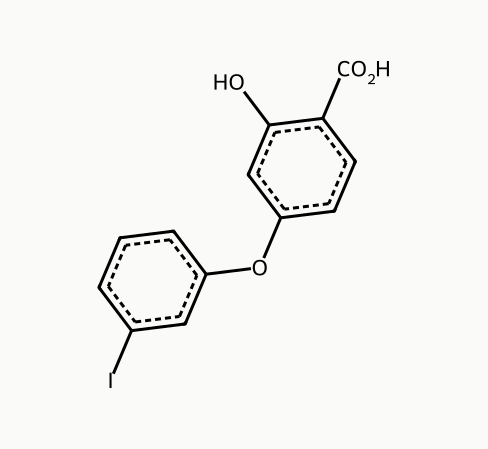 O=C(O)c1ccc(Oc2cccc(I)c2)cc1O